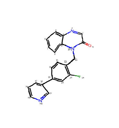 O=c1cnc2ccccc2n1Cc1ccc(-c2cccnc2)cc1F